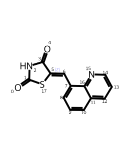 O=C1NC(=O)/C(=C/c2cccc3cccnc23)S1